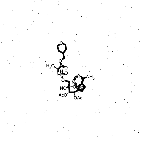 CO[C@](C#N)(CO[PH](=O)N[C@@H](C)C(=O)OCC1CCOCC1)[C@@H](OC(C)=O)[C@@H](OC(C)=O)c1ccc2c(N)ncnn12